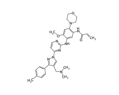 C=CC(=O)Nc1cc(Nc2nccc(-n3cc(CN(C)C)c(-c4ccc(C)cc4)n3)n2)c(OC)cc1N1CCOCC1